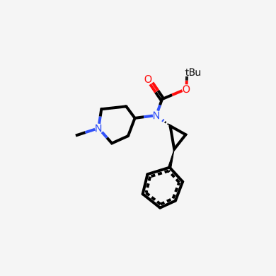 CN1CCC(N(C(=O)OC(C)(C)C)[C@@H]2C[C@H]2c2ccccc2)CC1